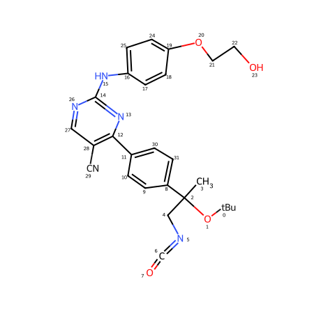 CC(C)(C)OC(C)(CN=C=O)c1ccc(-c2nc(Nc3ccc(OCCO)cc3)ncc2C#N)cc1